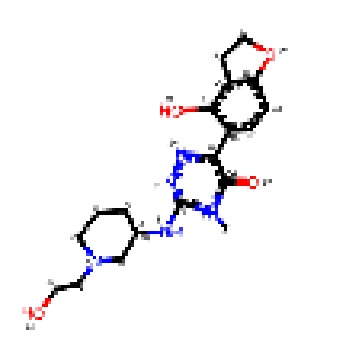 Cn1c(N[C@@H]2CCCN(CCO)C2)nnc(-c2ccc3c(c2O)CCO3)c1=O